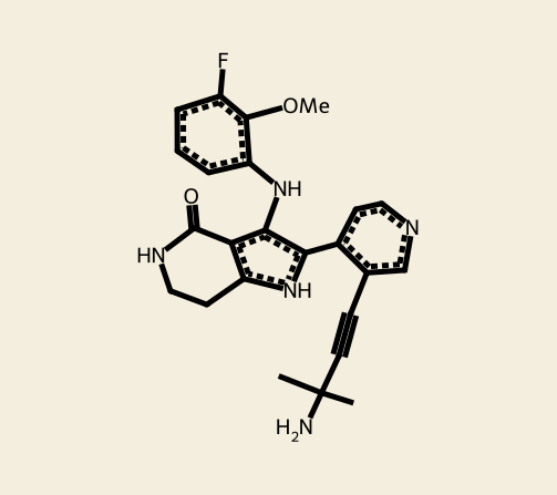 COc1c(F)cccc1Nc1c(-c2ccncc2C#CC(C)(C)N)[nH]c2c1C(=O)NCC2